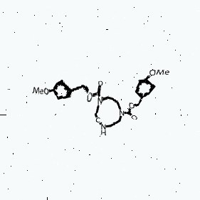 COc1ccc(COC(=O)N2CCNCCN(C(=O)OCc3ccc(OC)cc3)CC2)cc1